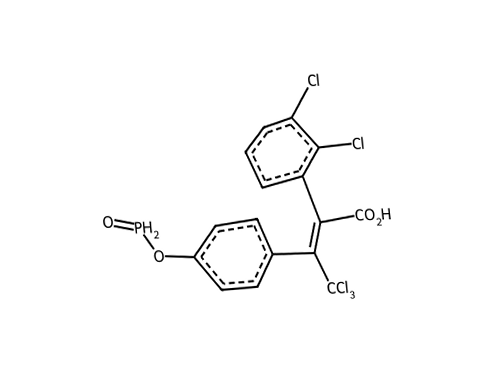 O=[PH2]Oc1ccc(C(=C(C(=O)O)c2cccc(Cl)c2Cl)C(Cl)(Cl)Cl)cc1